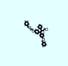 ClCCC(=C(c1ccc(OCCOCc2ccccc2)cc1)c1ccc(OCc2ccccc2)cc1)c1ccccc1